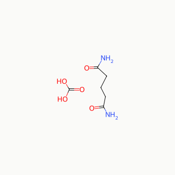 NC(=O)CCCC(N)=O.O=C(O)O